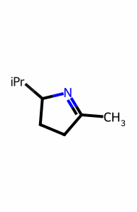 CC1=NC(C(C)C)CC1